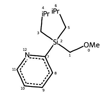 COC[Si](CC(C)C)(CC(C)C)c1ccccn1